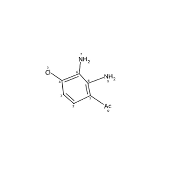 CC(=O)c1ccc(Cl)c(N)c1N